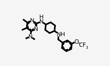 Cc1nc(NC2CCC(NCc3cccc(OC(F)(F)F)c3)CC2)nc(N(C)C)c1C